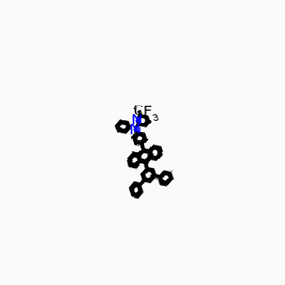 FC(F)(F)c1cccc(N(c2ccccc2)c2ccc(-c3c4ccccc4c(-c4cc(-c5ccccc5)cc(-c5ccccc5)c4)c4ccccc34)cc2)n1